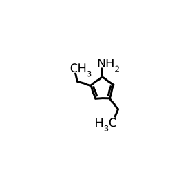 CCC1=CC(N)C(CC)=C1